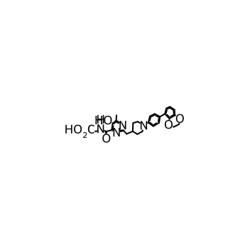 Cc1nc(CC2CCN(c3ccc(-c4cccc5c4OCCO5)cc3)CC2)nc(C(=O)NCC(=O)O)c1O